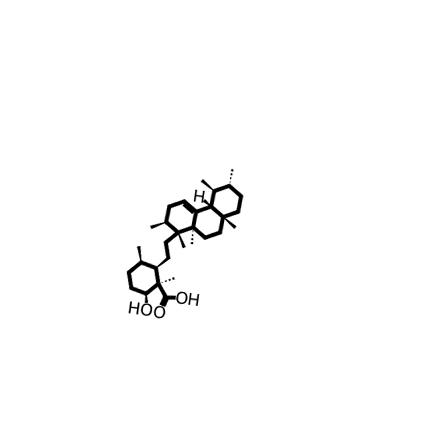 C[C@H]1[C@H](C)CC[C@]2(C)CC[C@]3(C)C(=CC[C@H](C)[C@@]3(C)CC[C@@H]3[C@H](C)CC[C@H](O)[C@]3(C)C(=O)O)[C@H]12